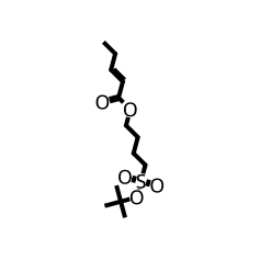 CCC=CC(=O)OCCCCS(=O)(=O)OC(C)(C)C